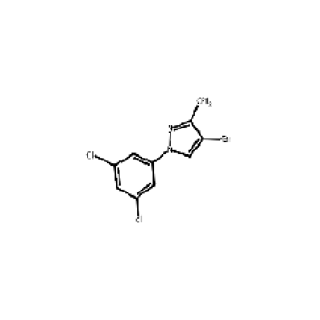 Cc1nn(-c2cc(Cl)cc(Cl)c2)cc1Br